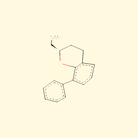 CNC[C@H]1CCc2cccc(-c3ccccc3)c2O1